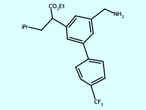 CCOC(=O)C(CC(C)C)c1cc(CN)cc(-c2ccc(C(F)(F)F)cc2)c1